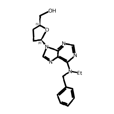 CCN(Cc1ccccc1)c1ncnc2c1ncn2[C@H]1CC[C@@H](CO)O1